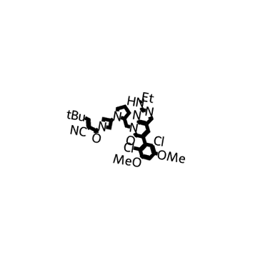 CCNc1ncc2cc(-c3c(Cl)c(OC)cc(OC)c3Cl)c(=O)n(CC3CCCN3C3CN(C(=O)C(C#N)=CC(C)(C)C)C3)c2n1